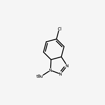 CC(C)(C)N1N=NC2C=C(Cl)C=CC21